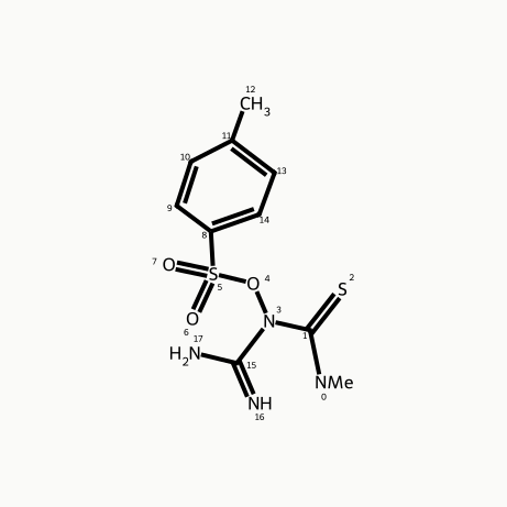 CNC(=S)N(OS(=O)(=O)c1ccc(C)cc1)C(=N)N